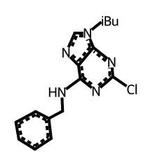 CCC(C)n1cnc2c(NCc3ccccc3)nc(Cl)nc21